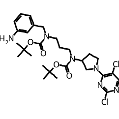 CC(C)(C)OC(=O)N(CCCN(C(=O)OC(C)(C)C)C1CCN(c2nc(Cl)ncc2Cl)C1)Cc1cccc(N)c1